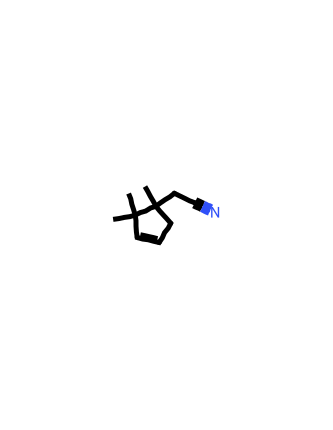 CC1(C)C=CCC1(C)CC#N